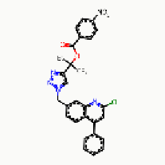 CCC(OC(=O)c1ccc([N+](=O)[O-])cc1)(c1cn(Cc2ccc3c(-c4ccccc4)cc(Cl)nc3c2)nn1)C(F)(F)F